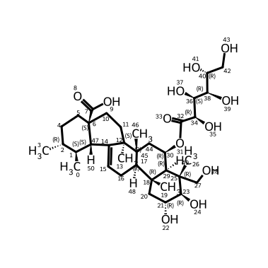 C[C@H]1[C@H](C)CC[C@]2(C(=O)O)CC[C@]3(C)C(=CC[C@@H]4[C@@]5(C)C[C@@H](O)[C@H](O)[C@@](C)(CO)[C@@H]5[C@H](OC(=O)[C@H](O)[C@@H](O)[C@H](O)[C@H](O)CO)C[C@]43C)[C@H]12